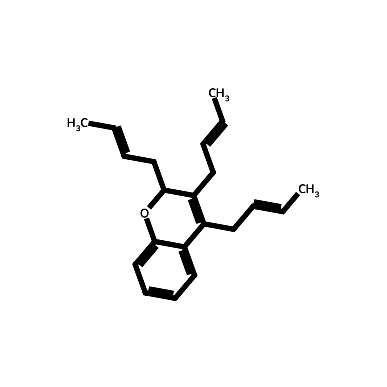 CC=CCC1=C(CC=CC)C(CC=CC)Oc2ccccc21